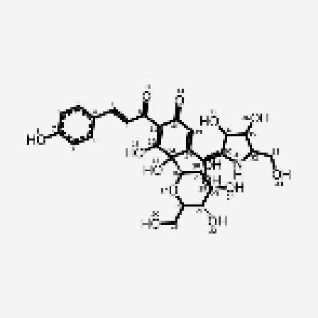 O=C(C=Cc1ccc(O)cc1)C1=C(O)C(O)([C@@H]2OC(CO)[C@@H](O)[C@H](O)C2O)C(/C(O)=C2/NC(CO)C(O)C2O)=CC1=O